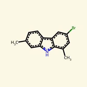 Cc1ccc2c(c1)[nH]c1c(C)cc(Br)cc12